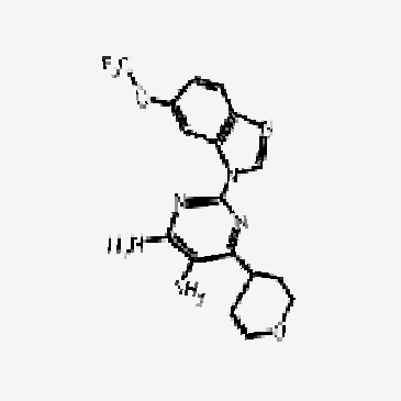 Nc1nc(-n2cnc3ccc(OC(F)(F)F)cc32)nc(C2CCOCC2)c1N